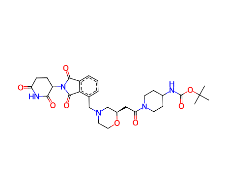 CC(C)(C)OC(=O)NC1CCN(C(=O)C[C@@H]2CN(Cc3cccc4c3C(=O)N(C3CCC(=O)NC3=O)C4=O)CCO2)CC1